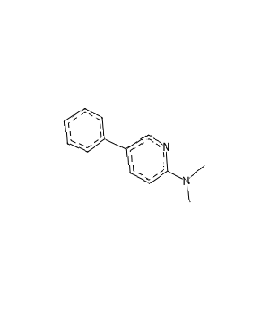 CN(C)c1ccc(-c2ccccc2)cn1